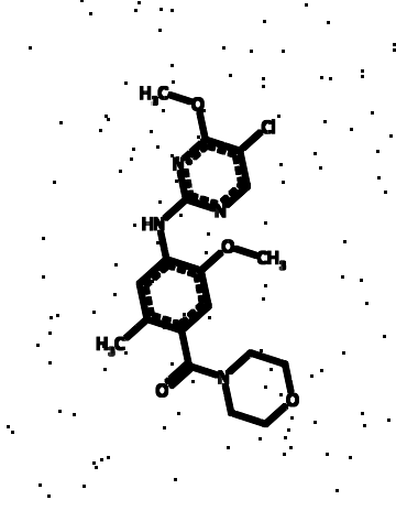 COc1cc(C(=O)N2CCOCC2)c(C)cc1Nc1ncc(Cl)c(OC)n1